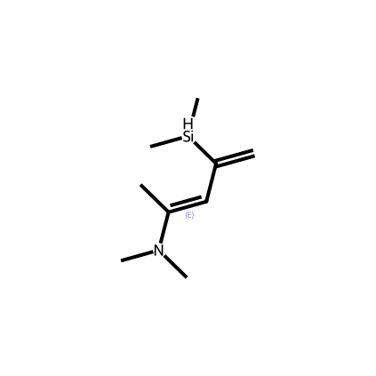 C=C(/C=C(\C)N(C)C)[SiH](C)C